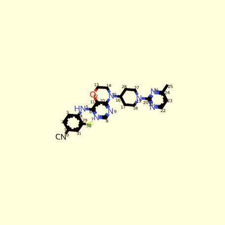 [C-]#[N+]c1ccc(Nc2ncnc3c2OCCN3C2CCN(c3nccc(C)n3)CC2)c(F)c1